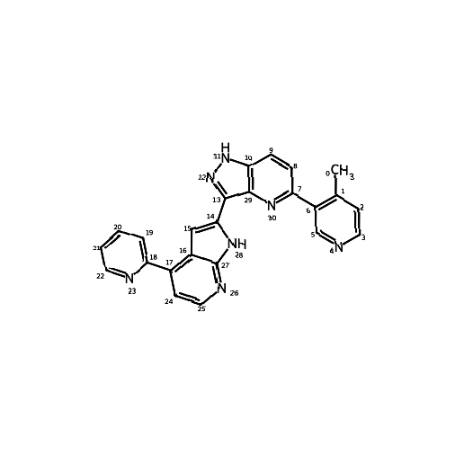 Cc1ccncc1-c1ccc2[nH]nc(-c3cc4c(-c5ccccn5)ccnc4[nH]3)c2n1